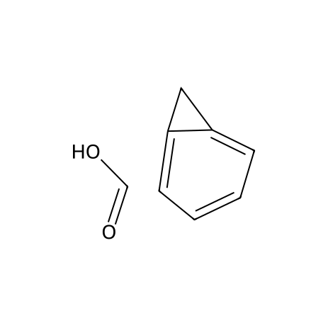 O=CO.c1ccc2c(c1)C2